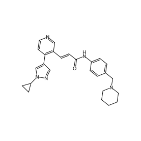 O=C(/C=C/c1cnccc1-c1cnn(C2CC2)c1)Nc1ccc(CN2CCCCC2)cc1